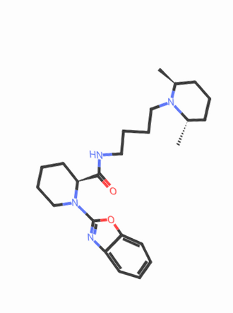 C[C@H]1CCC[C@H](C)N1CCCCNC(=O)[C@@H]1CCCCN1c1nc2ccccc2o1